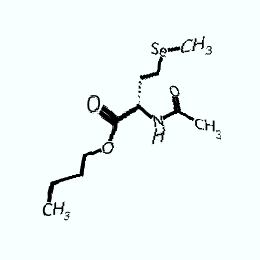 CCCCOC(=O)[C@H](CC[Se]C)NC(C)=O